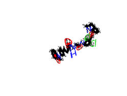 CC(=O)N(c1ccc(C=CC(=O)NCC(=O)N(C)c2ccc(Cl)c(COc3cccc4ccc(C)nc34)c2Cl)cc1)C12CC3CC(CC(C3)C1)C2